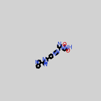 O=C1CCN(c2cnccc2CN2CCN(c3ccc(-c4cnc5c(-c6ccnc7ccccc67)cnn5c4)cc3)CC2)C(=O)N1